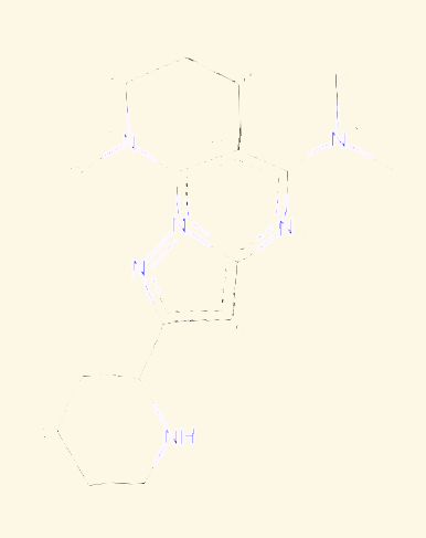 CN(C)c1nc2cc(C3CCCCN3)nn2c2c1CCCN2C